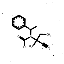 CCC(C)(C#N)N(C(=O)O)C(I)c1ccccc1